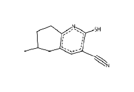 CC1CCc2nc(S)c(C#N)cc2C1